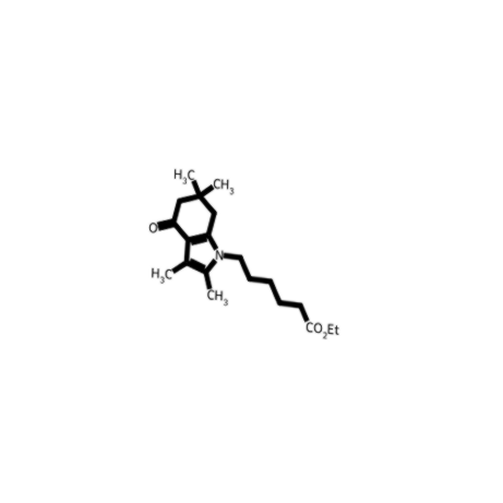 CCOC(=O)CCCCCn1c(C)c(C)c2c1CC(C)(C)CC2=O